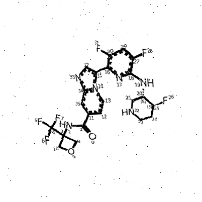 O=C(NC1(C(F)(F)F)COC1)c1ccn2c(-c3nc(N[C@H]4CNCC[C@@H]4F)c(F)cc3F)cnc2c1